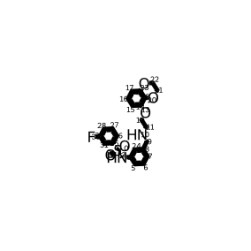 O=S(=O)(Nc1cccc(CNCCOc2cccc3c2OCCO3)c1)c1cccc(F)c1